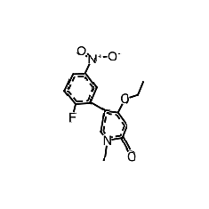 CCOc1cc(=O)n(C)cc1-c1cc([N+](=O)[O-])ccc1F